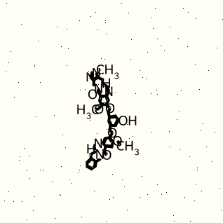 COc1cc2c(cc1OCc1cc(O)cc(COc3cc4c(cc3OC)C(=O)N3Cc5ncn(C)c5C[C@H]3C=N4)c1)N=C[C@@H]1Cc3ccccc3CN1C2=O